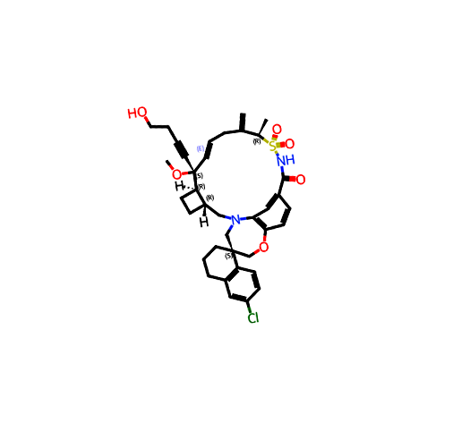 C=C1C/C=C/[C@@](C#CCCO)(OC)[C@@H]2CC[C@H]2CN2C[C@@]3(CCCc4cc(Cl)ccc43)COc3ccc(cc32)C(=O)NS(=O)(=O)[C@@H]1C